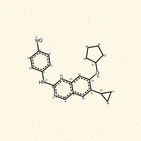 O=Nc1ccc(Nc2ncc3cc(C4CC4)c(OC4CCCC4)cc3n2)cc1